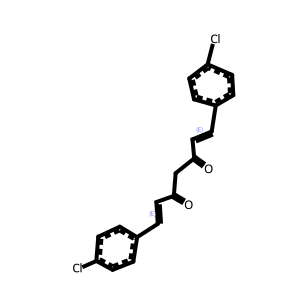 O=C(/C=C/c1ccc(Cl)cc1)CC(=O)/C=C/c1ccc(Cl)cc1